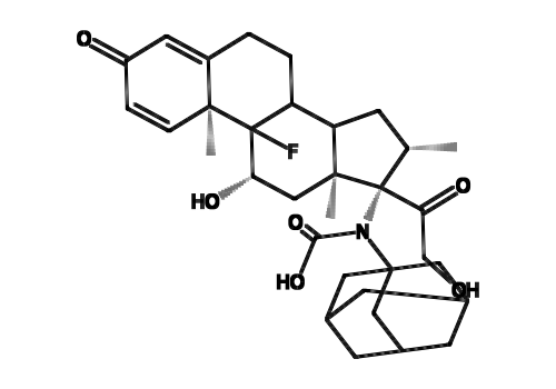 C[C@H]1CC2C3CCC4=CC(=O)C=C[C@]4(C)C3(F)[C@@H](O)C[C@]2(C)[C@@]1(C(=O)CO)N(C(=O)O)C12CC3CC(CC(C3)C1)C2